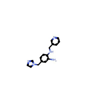 Nc1cc(Cn2ccnc2)ccc1NCc1cccnc1